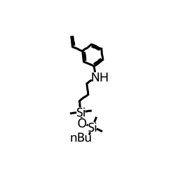 C=Cc1cccc(NCCC[Si](C)(C)O[Si](C)(C)CCCC)c1